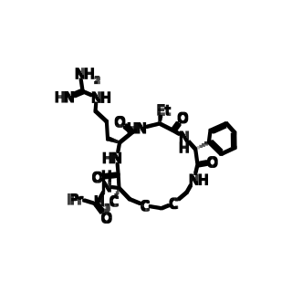 CC[C@@H]1NC(=O)[C@H](CCCNC(=N)N)NC(=O)[C@](C)(NC(=O)C(C)C)CCCCCNC(=O)[C@@H](c2ccccc2)NC1=O